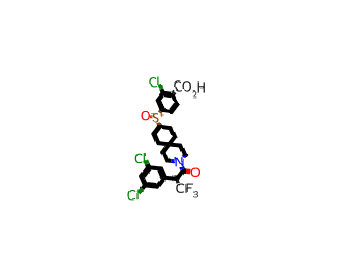 O=C(O)c1ccc([S+]([O-])C2CCC3(CC2)CCN(C(=O)[C@H](c2cc(Cl)cc(Cl)c2)C(F)(F)F)CC3)cc1Cl